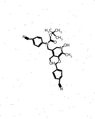 CC1=C(OCc2ccc(C#N)cc2)C(CO)=C(CN(C(=O)OC(C)(C)C)c2ccc(C#N)cc2)CN1O